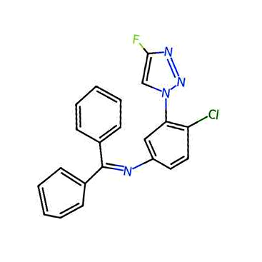 Fc1cn(-c2cc(N=C(c3ccccc3)c3ccccc3)ccc2Cl)nn1